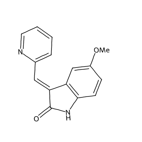 COc1ccc2c(c1)/C(=C\c1ccccn1)C(=O)N2